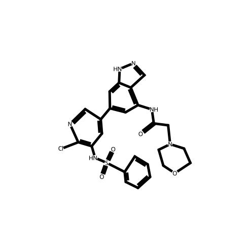 O=C(CN1CCOCC1)Nc1cc(-c2cnc(Cl)c(NS(=O)(=O)c3ccccc3)c2)cc2[nH]ncc12